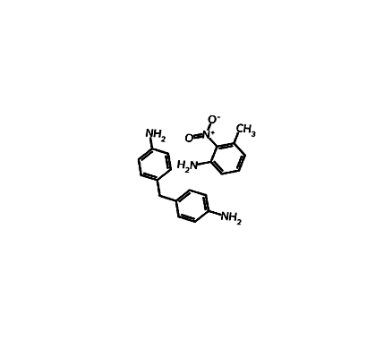 Cc1cccc(N)c1[N+](=O)[O-].Nc1ccc(Cc2ccc(N)cc2)cc1